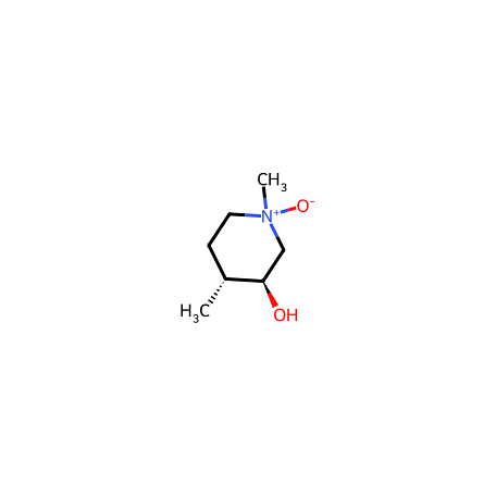 C[C@@H]1CC[N+](C)([O-])C[C@H]1O